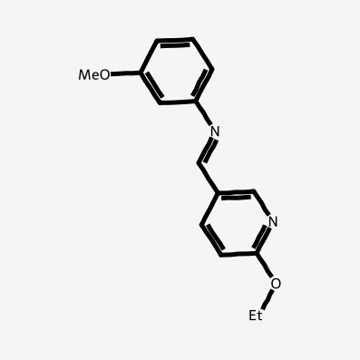 CCOc1ccc(/C=N/c2cccc(OC)c2)cn1